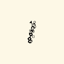 O=C1COC2(CCN(S(=O)(=O)c3ccc(-c4ccc5cccnc5c4)c(Cl)c3)CC2)CN1C1CC1